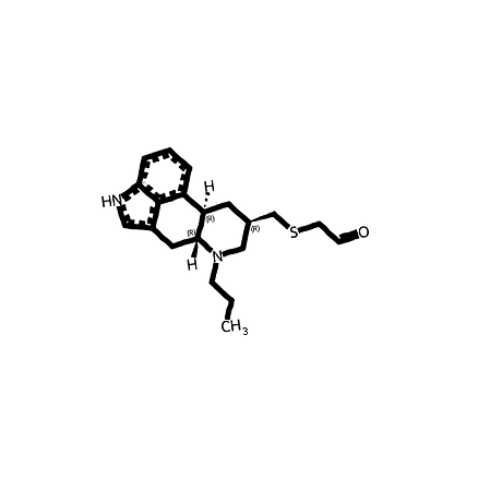 CCCN1C[C@H](CSCC=O)C[C@@H]2c3cccc4[nH]cc(c34)C[C@H]21